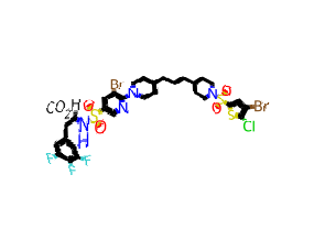 O=C(O)C(Cc1cc(F)c(F)c(F)c1)NS(=O)(=O)c1cnc(N2CCC(CCCC3CCN(S(=O)(=O)c4cc(Br)c(Cl)s4)CC3)CC2)c(Br)c1